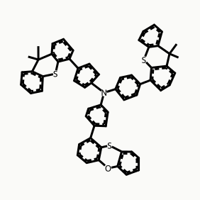 CC1(C)c2ccccc2Sc2c(-c3ccc(N(c4ccc(-c5cccc6c5Sc5ccccc5O6)cc4)c4ccc(-c5cccc6c5Sc5ccccc5C6(C)C)cc4)cc3)cccc21